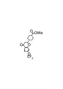 COC(=O)[C@H]1CC[C@@H](C2CC(=O)c3ccc(OC(F)(F)F)cc3O2)CC1